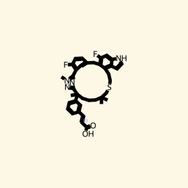 Cn1nc2nc1-c1cc(ccc1F)Cc1c(F)cc3[nH]ccc3c1CCSCC(C)(C)CCCC2(C)c1cccc(/C=C/C(=O)O)c1